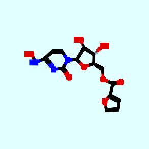 O=C(OC[C@H]1O[C@@H](n2ccc(NO)nc2=O)[C@H](O)[C@@H]1O)c1ccco1